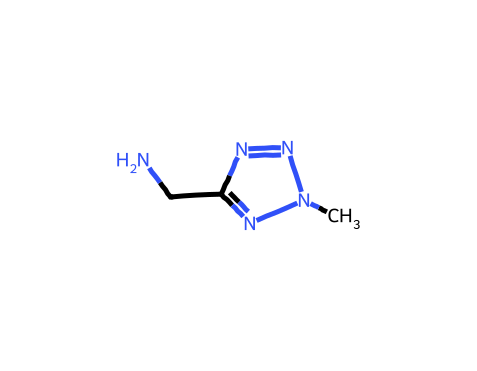 Cn1nnc(CN)n1